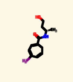 C[C@@H](CCO)NC(=O)C1=CC=C(P)C=CC1